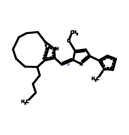 CCCCC1CCCCCCc2cc1c(/C=C1/N=C(c3cccn3C)C=C1OC)[nH]2